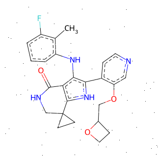 Cc1c(F)cccc1Nc1c(-c2ccncc2OCC2CCO2)[nH]c2c1C(=O)NCC21CC1